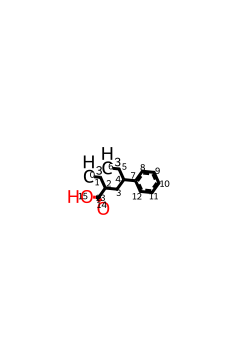 CCC(CC(CC)c1ccccc1)C(=O)O